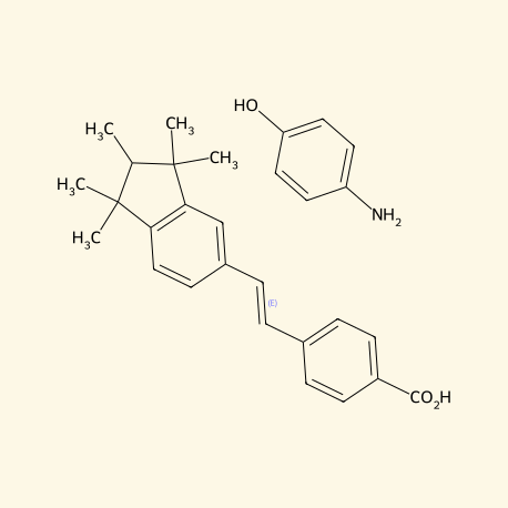 CC1C(C)(C)c2ccc(/C=C/c3ccc(C(=O)O)cc3)cc2C1(C)C.Nc1ccc(O)cc1